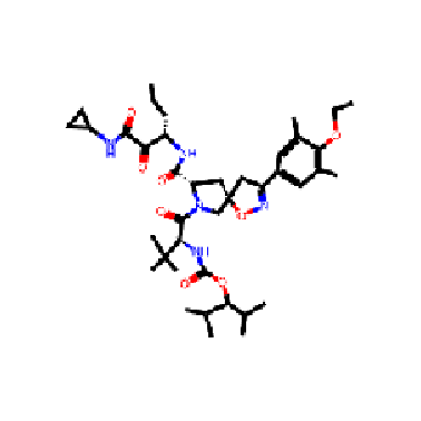 CCC[C@H](NC(=O)[C@@H]1C[C@]2(CC(c3cc(C)c(OCC)c(C)c3)=NO2)CN1C(=O)[C@@H](NC(=O)OC(C(C)C)C(C)C)C(C)(C)C)C(=O)C(=O)NC1CC1